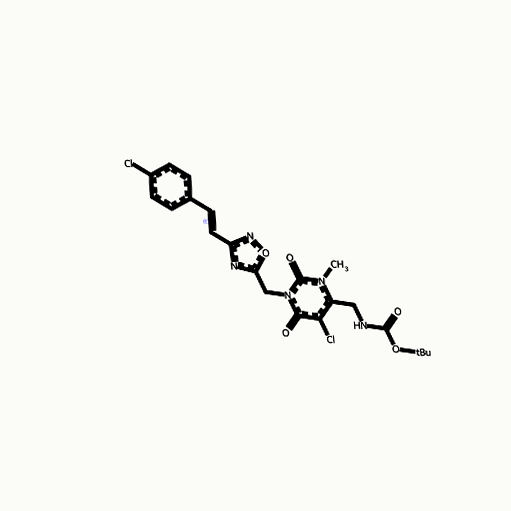 Cn1c(CNC(=O)OC(C)(C)C)c(Cl)c(=O)n(Cc2nc(/C=C/c3ccc(Cl)cc3)no2)c1=O